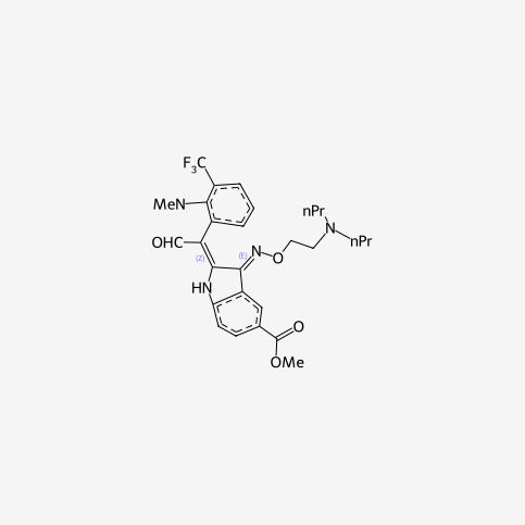 CCCN(CCC)CCO/N=C1/C(=C(/C=O)c2cccc(C(F)(F)F)c2NC)Nc2ccc(C(=O)OC)cc21